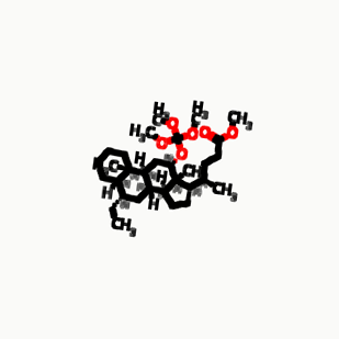 CC[C@H]1C[C@@H]2[C@H](C[C@H](OC(OC)(OC)OC)[C@]3(C)[C@@H]([C@H](C)CCC(=O)OC)CC[C@@H]23)[C@@]2(C)CCCC[C@@H]12